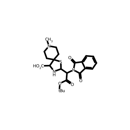 CN1CCC2(CC1)SC(C(C(=O)OC(C)(C)C)N1C(=O)c3ccccc3C1=O)NC2C(=O)O